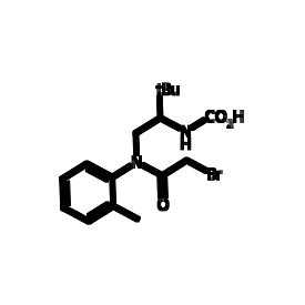 Cc1ccccc1N(CC(NC(=O)O)C(C)(C)C)C(=O)CBr